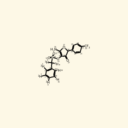 [2H]c1c([2H])c([2H])c(C([2H])([2H])S(=O)(=O)OC2=C(N)OC(c3ccc(C(F)(F)F)cc3)C2=O)c([2H])c1[2H]